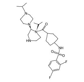 CC(C)N1CCN([C@@H]2CNCC[N@+]2(C(=O)C2CCC(NS(=O)(=O)c3ccc(F)cc3F)CC2)C(C)C)CC1